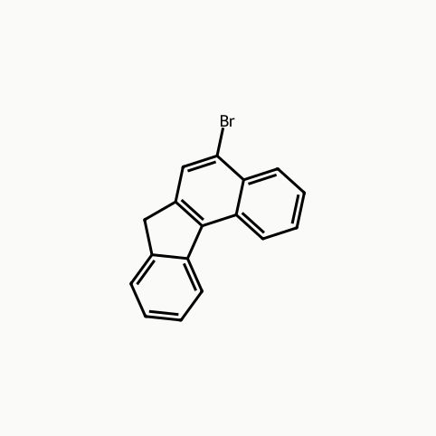 Brc1cc2c(c3ccccc13)-c1ccccc1C2